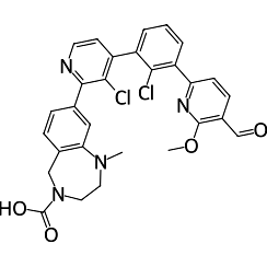 COc1nc(-c2cccc(-c3ccnc(-c4ccc5c(c4)N(C)CCN(C(=O)O)C5)c3Cl)c2Cl)ccc1C=O